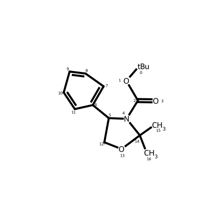 CC(C)(C)OC(=O)N1C(c2ccccc2)[CH]OC1(C)C